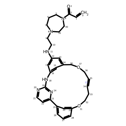 C=CC(=O)N1CCCN(CCNc2cc3cc(c2)Nc2nccc(n2)-c2cccc(c2)OCC/C=C/COC3)CC1